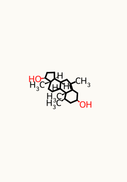 CC1=C2C[C@@H](O)C[C@@H](C)[C@]2(C)[C@H]2CC[C@]3(C)[C@@H](O)CC[C@H]3[C@@H]2C1